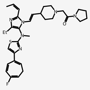 C/C=C\c1nc(CC)c(N(C)c2nc(C3=CCC=C(F)C=C3)cs2)n1/C=C/C1CCN(CC(=O)N2CCCC2)CC1